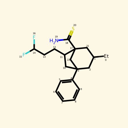 CCC1CC2(c3ccccc3)CC(CCC(F)F)C(C(N)=S)(C1)C2